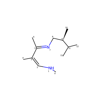 CN/C=C(C)\C(C)=N\C[C@@H](C)C(C)C